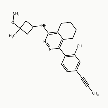 CC#Cc1ccc(-c2nnc(NC3CC(C)(OC)C3)c3c2CCCC3)c(O)c1